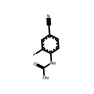 N#Cc1ccc(NC(=O)O)c(F)c1